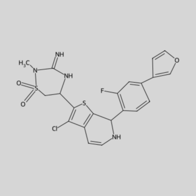 CN1C(=N)NC(c2sc3c(c2Cl)C=CNC3c2ccc(-c3ccoc3)cc2F)CS1(=O)=O